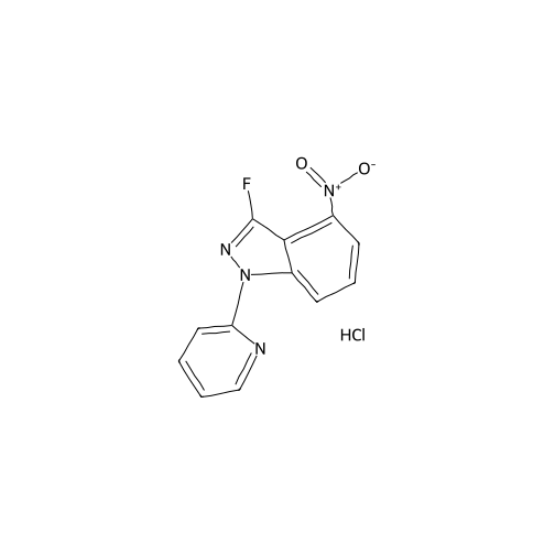 Cl.O=[N+]([O-])c1cccc2c1c(F)nn2-c1ccccn1